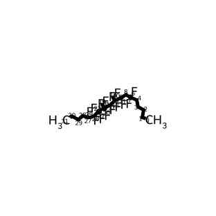 CCCCCC(F)(F)CC(F)(F)C(F)(F)C(F)(F)C(F)(F)C(F)(F)C(F)(F)CCCCC